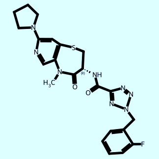 CN1C(=O)[C@@H](NC(=O)c2nnn(Cc3ccccc3F)n2)CSc2cc(N3CCCC3)ncc21